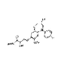 CCC1CSc2cc(OCC(O)C(=O)OC)c(SC)cc2N(c2ccc(F)cc2)C1